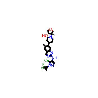 Cc1cc2cnc(Nc3cnn(C4CC4(F)F)c3Cl)nc2cc1C1CCN([C@@]2(C)COC[C@H]2O)CC1